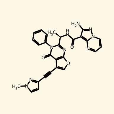 C[C@@H](NC(=O)c1c(N)nn2cccnc12)c1nc2occ(C#Cc3ccn(C)n3)c2c(=O)n1-c1ccccc1